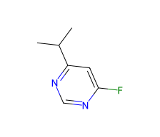 CC(C)c1cc(F)ncn1